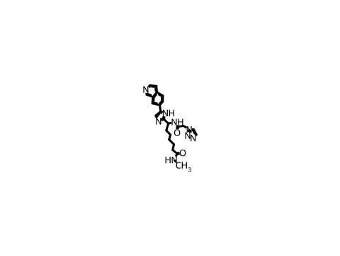 CNC(=O)CCCCCC(NC(=O)Cn1ccnn1)c1ncc(-c2ccc3ccncc3c2)[nH]1